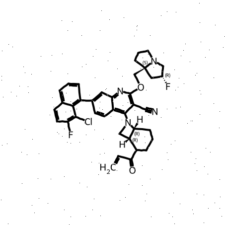 C=CC(=O)C1CCC[C@@H]2[C@H]1CN2c1c(C#N)c(OC[C@@]23CCCN2C[C@H](F)C3)nc2cc(-c3cccc4ccc(F)c(Cl)c34)ccc12